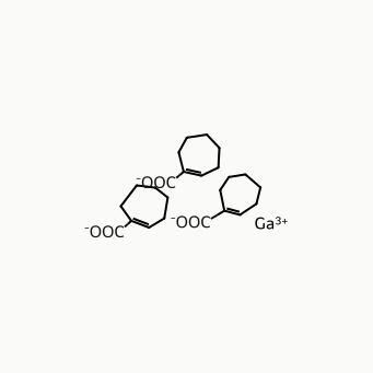 O=C([O-])C1=CCCCCC1.O=C([O-])C1=CCCCCC1.O=C([O-])C1=CCCCCC1.[Ga+3]